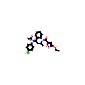 CCOc1cc(C(=O)N2c3ccccc3C(N(C(C)=O)c3ccc(Cl)cc3)CC2C)on1